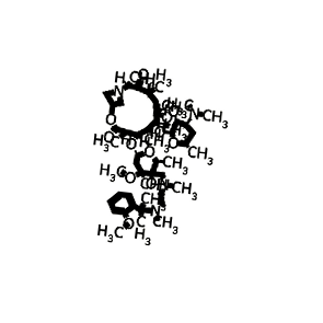 COc1ccccc1C(C)(C)N(C)CCN(C)C[C@@]1(O)[C@H](C)O[C@@H](O[C@H]2[C@H](C)[C@@H](O[C@@H]3O[C@H](C)C[C@H](N(C)C)[C@H]3O)[C@@](C)(OC)C[C@@H](C)C(=O)[C@H](C)N3CC(C3)OC(=O)[C@@H]2C)C[C@@]1(C)OC